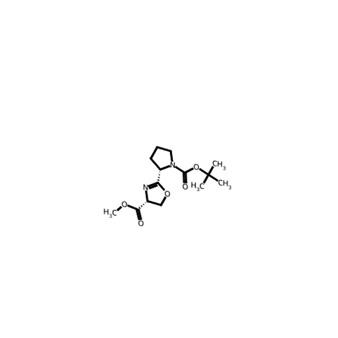 COC(=O)[C@H]1COC([C@@H]2CCCN2C(=O)OC(C)(C)C)=N1